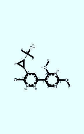 COc1ncc(-c2cc([C@H]3C[C@@H]3C(C)(C)O)c(Cl)nn2)c(OC)n1